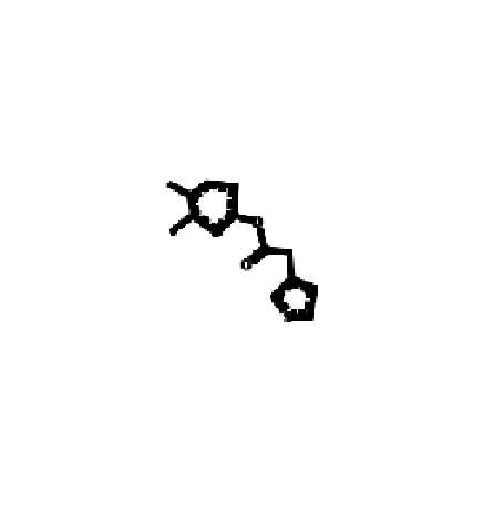 Cc1ccc(OC(=O)Cc2ccsc2)cc1C